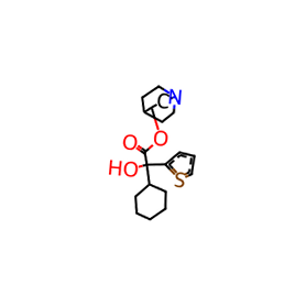 O=C(OC1CN2CCC1CC2)C(O)(c1cccs1)C1CCCCC1